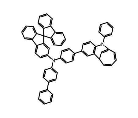 C1=CC2=CC(C=C1)c1cc(-c3ccc(N(c4ccc(-c5ccccc5)cc4)c4ccc5c(c4)C4(c6ccccc6-c6ccccc64)c4ccccc4-5)cc3)ccc1N2c1ccccc1